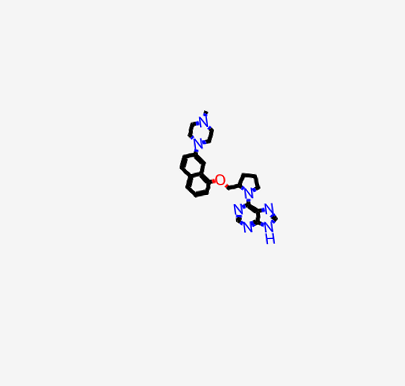 CN1CCN(c2ccc3cccc(OCC4CCCN4c4ncnc5[nH]cnc45)c3c2)CC1